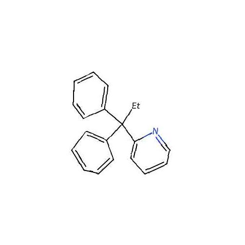 [CH2]CC(c1ccccc1)(c1ccccc1)c1ccccn1